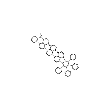 O=C1c2ccccc2-c2ccc3c4ccc5c6ccc7c8c(ccc(c9ccc(c%10ccc1c2c%103)c4c95)c86)-c1c(-c2ccccc2)c(-c2ccccc2)c(-c2ccccc2)c(-c2ccccc2)c1-7